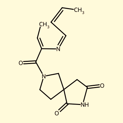 C\C=C/C=N\C(=C/C)C(=O)N1CCC2(CC(=O)NC2=O)C1